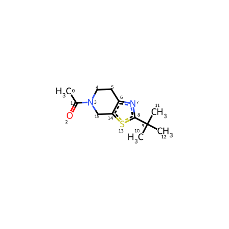 CC(=O)N1CCc2nc(C(C)(C)C)sc2C1